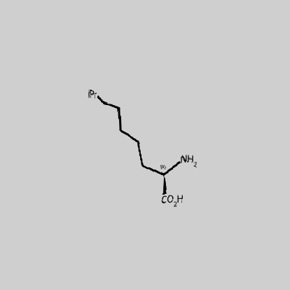 CC(C)CCCC[C@@H](N)C(=O)O